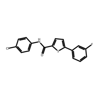 O=C(Nc1ccc(Cl)cc1)c1ccc(-c2cccc(F)c2)s1